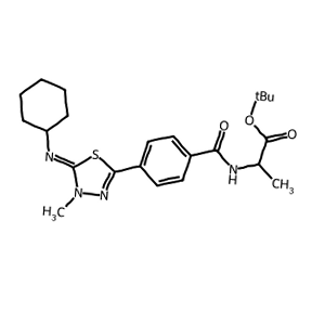 CC(NC(=O)c1ccc(-c2nn(C)c(=NC3CCCCC3)s2)cc1)C(=O)OC(C)(C)C